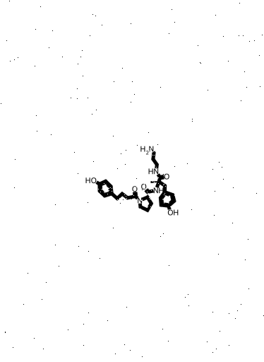 C[C@@](Cc1ccc(O)cc1)(NC(=O)[C@@H]1CCCN1C(=O)CCCc1ccc(O)cc1)C(=O)NCCCN